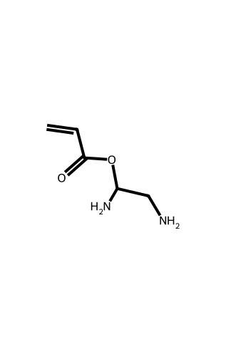 C=CC(=O)OC(N)CN